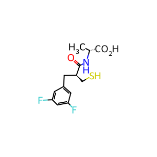 C[C@@H](NC(=O)[C@@H](CS)Cc1cc(F)cc(F)c1)C(=O)O